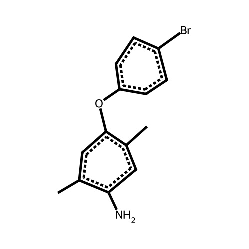 Cc1cc(Oc2ccc(Br)cc2)c(C)cc1N